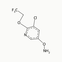 NOc1cnc(OCC(F)(F)F)c(Cl)c1